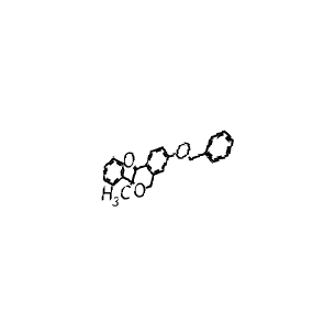 CC1(c2ccccc2)OCc2cc(OCc3ccccc3)ccc2C1=O